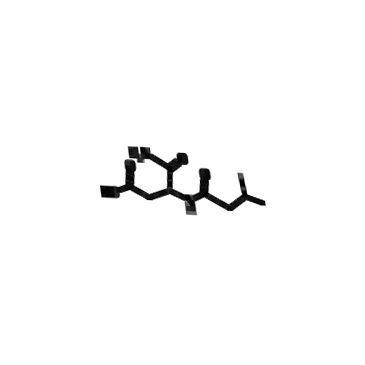 CC(C)CC(=O)NC(CC(=O)O)C(N)=O